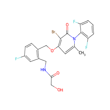 Cc1cc(OCc2ccc(F)cc2CNC(=O)CO)c(Br)c(=O)n1-c1c(F)cccc1F